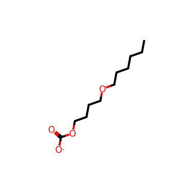 CCCCCCOCCCCOC([O])=O